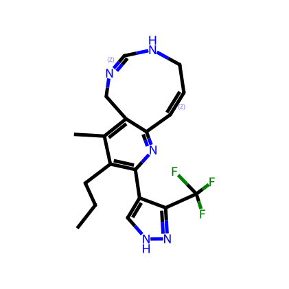 CCCc1c(-c2c[nH]nc2C(F)(F)F)nc2c(c1C)C/N=C\NC/C=C\2